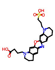 O=C(O)CCC[N+]1=c2cc3c(cc2CCC1)=Nc1cc2c(cc1O3)N(CCCS(=O)(=O)O)CCC2